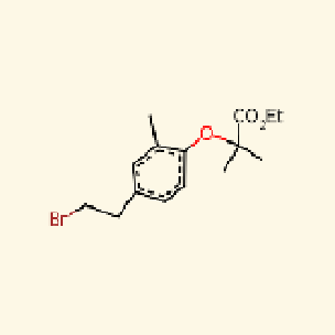 CCOC(=O)C(C)(C)Oc1ccc(CCBr)cc1C